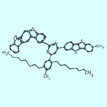 CCCCCCCCc1cc(-c2cc(-c3ccc4c(c3)sc3c5ccc(C)cc5sc43)nc(-c3ccc4sc5cc6oc7ccccc7c6cc5c4c3)n2)c(CCCCCCCC)cc1C